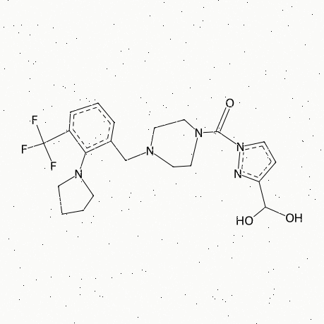 O=C(N1CCN(Cc2cccc(C(F)(F)F)c2N2CCCC2)CC1)n1ccc(C(O)O)n1